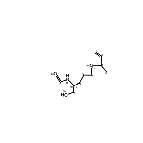 C=CC(C)NCCC[C@@H](CO)NC=O